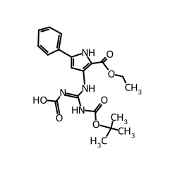 CCOC(=O)c1[nH]c(-c2ccccc2)cc1NC(=NC(=O)O)NC(=O)OC(C)(C)C